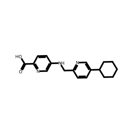 O=C(O)c1ccc(NCc2ccc(C3CCCCC3)cn2)cn1